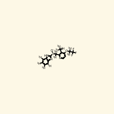 [2H]c1c([2H])c([2H])c2[nH]c([S+]([O-])C([2H])([2H])c3nccc(OC([2H])([2H])C(F)(F)F)c3C([2H])([2H])[2H])nc2c1[2H]